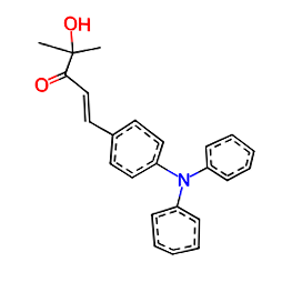 CC(C)(O)C(=O)C=Cc1ccc(N(c2ccccc2)c2ccccc2)cc1